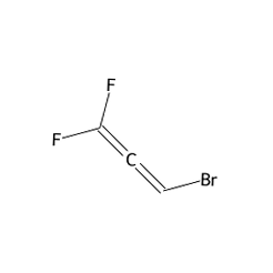 FC(F)=C=CBr